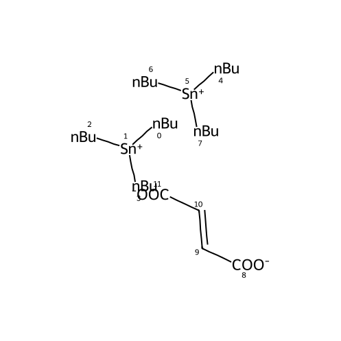 CCC[CH2][Sn+]([CH2]CCC)[CH2]CCC.CCC[CH2][Sn+]([CH2]CCC)[CH2]CCC.O=C([O-])C=CC(=O)[O-]